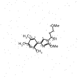 CCC(CCOC)n1cc(-c2cc(C)c(C)nc2C)nc1OC